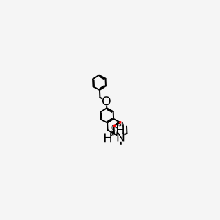 CN1CC[C@@]23CCCC[C@@H]2[C@@H]1Cc1ccc(OCc2ccccc2)cc13